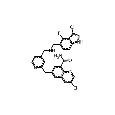 NC(=O)c1cc(Cc2cc(CNCc3ccc4[nH]cc(Cl)c4c3F)ccn2)cc2cc(Cl)cnc12